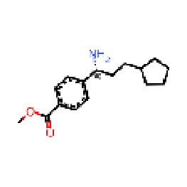 COC(=O)c1ccc([C@H](N)CCC2CCCC2)cc1